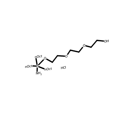 CCCCCCCCP(N)(CCCCCCCC)(CCCCCCCC)OCCOCCOCCO.Cl